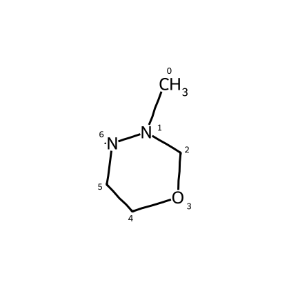 CN1COCC[N]1